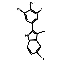 CCc1cc(-c2[nH]c3ccc(Cl)cc3c2C)cc(CC)c1OC